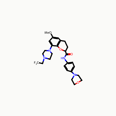 COc1cc2c(c(N3CCN(CC(F)(F)F)CC3)c1)OC(C(=O)Nc1ccc(N3CCOCC3)cc1)CC2